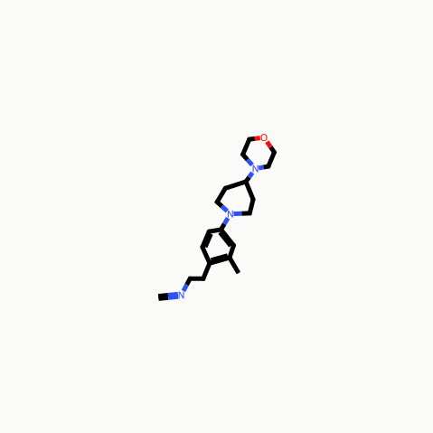 C=NCCc1ccc(N2CCC(N3CCOCC3)CC2)cc1C